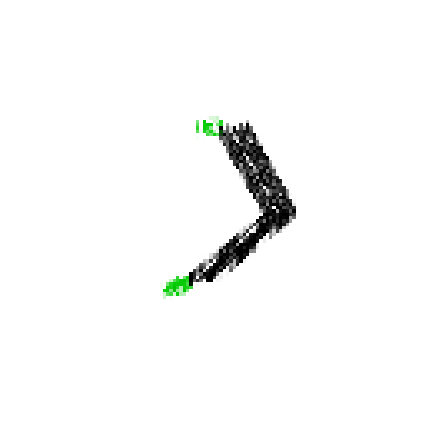 Cl.Cl.Cl.Cl.Cl.[NaH].[NaH].[NaH].[NaH].[NaH].[NaH].[NaH].[NaH].[NaH].[NaH].[NaH].[NaH].[NaH].[NaH].[NaH].[NaH].[NaH].[NaH].[NaH].[NaH].[NaH].[NaH].[NaH].[NaH].[NaH].[NaH].[NaH].[NaH].[NaH].[NaH].[NaH].[NaH].[NaH].[NaH].[NaH].[NaH].[NaH].[NaH].[NaH].[NaH].[NaH].[NaH].[NaH].[NaH]